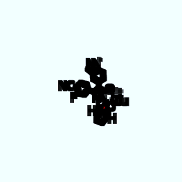 CCOc1c(-c2ccc3c(cnn3C)c2)c(-c2ccc(C#N)c(F)c2)nn1CC1C[C@H]2CC[C@@H](C1)N2C(=O)OC(C)(C)C